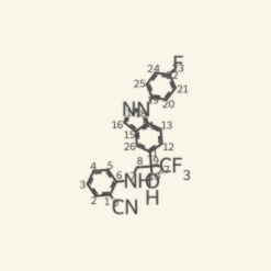 N#Cc1ccccc1NCC(O)(c1ccc2c(cnn2-c2ccc(F)cc2)c1)C(F)(F)F